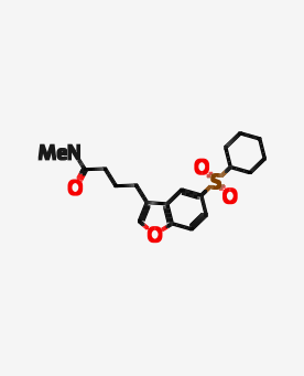 CNC(=O)CCCc1coc2ccc(S(=O)(=O)C3CCCCC3)cc12